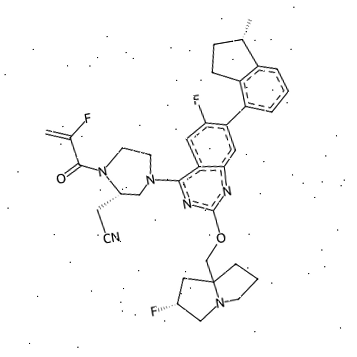 C=C(F)C(=O)N1CCN(c2nc(OCC34CCCN3C[C@H](F)C4)nc3cc(-c4cccc5c4CC[C@@H]5C)c(F)cc23)C[C@@H]1CC#N